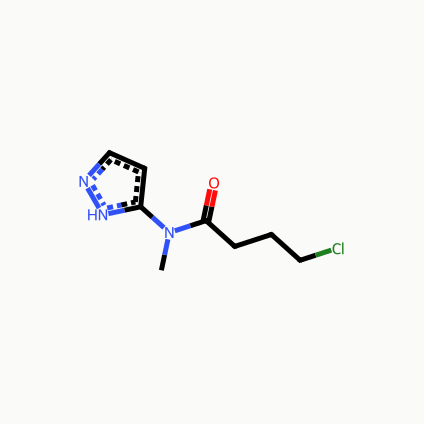 CN(C(=O)CCCCl)c1ccn[nH]1